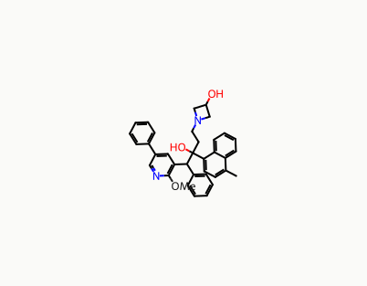 COc1ncc(-c2ccccc2)cc1C(c1ccccc1)C(O)(CCN1CC(O)C1)c1ccc(C)c2ccccc12